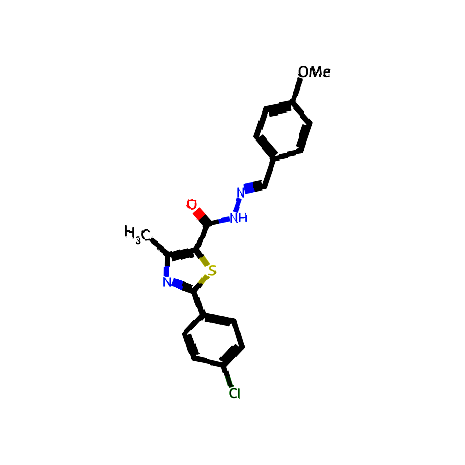 COc1ccc(/C=N/NC(=O)c2sc(-c3ccc(Cl)cc3)nc2C)cc1